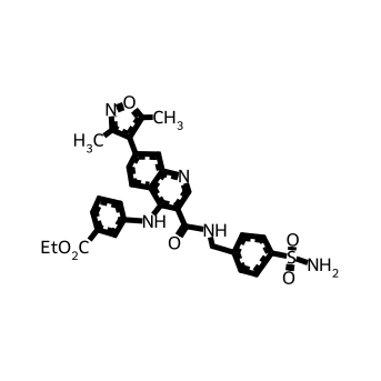 CCOC(=O)c1cccc(Nc2c(C(=O)NCc3ccc(S(N)(=O)=O)cc3)cnc3cc(-c4c(C)noc4C)ccc23)c1